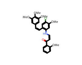 COc1cc(N/C=C\C(=O)c2ccccc2OC)c(/C=C\c2cc(OC)c(OC)c(OC)c2)cc1Cl